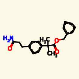 CC(C)(C(=O)OCc1ccccc1)c1ccc(CCC(N)=O)cc1